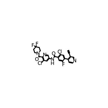 C#Cc1cnccc1-c1cc(Cl)c(C(=O)Nc2cnc(C(=O)N3CCC(F)(F)CC3)c(Cl)c2)cc1F